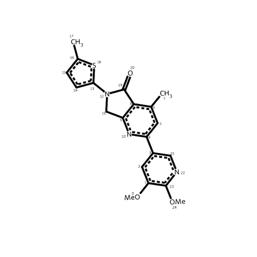 COc1cc(-c2cc(C)c3c(n2)CN(c2ccc(C)s2)C3=O)cnc1OC